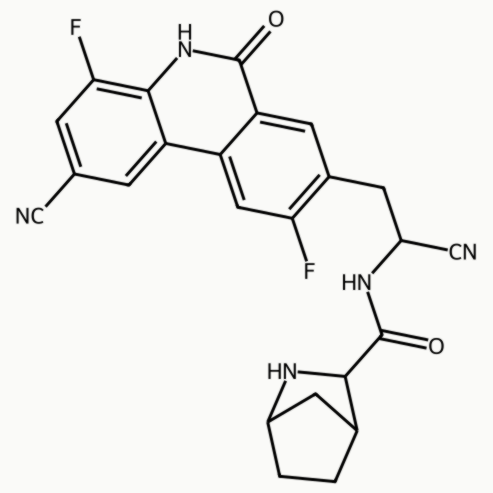 N#Cc1cc(F)c2[nH]c(=O)c3cc(CC(C#N)NC(=O)C4NC5CCC4C5)c(F)cc3c2c1